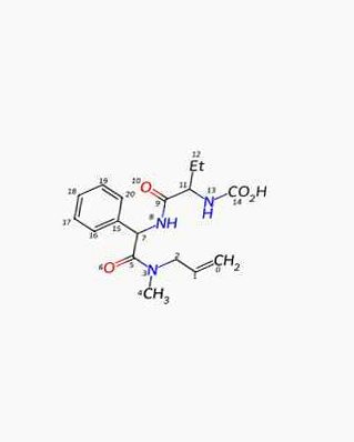 C=CCN(C)C(=O)C(NC(=O)C(CC)NC(=O)O)c1ccccc1